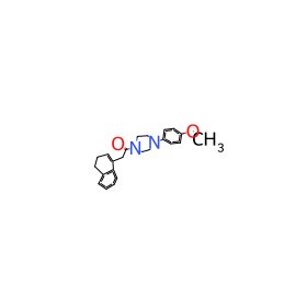 COc1ccc(N2CCN(C(=O)CC3=CCCc4ccccc43)CC2)cc1